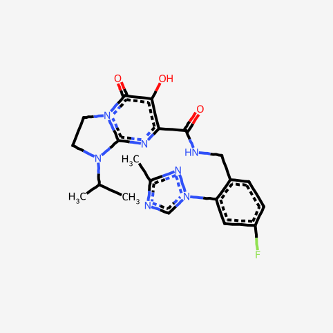 Cc1ncn(-c2cc(F)ccc2CNC(=O)c2nc3n(c(=O)c2O)CCN3C(C)C)n1